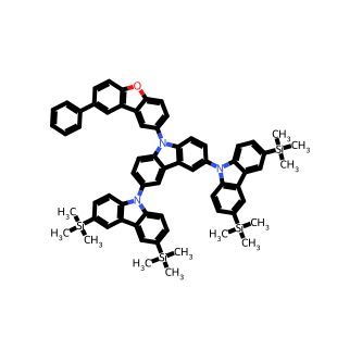 C[Si](C)(C)c1ccc2c(c1)c1cc([Si](C)(C)C)ccc1n2-c1ccc2c(c1)c1cc(-n3c4ccc([Si](C)(C)C)cc4c4cc([Si](C)(C)C)ccc43)ccc1n2-c1ccc2oc3ccc(-c4ccccc4)cc3c2c1